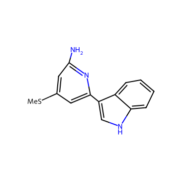 CSc1cc(N)nc(-c2c[nH]c3ccccc23)c1